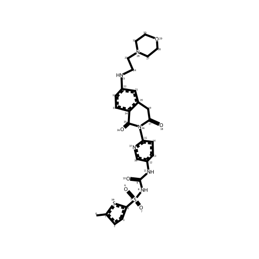 Cc1ccc(S(=O)(=O)NC(=O)Nc2ccc(N3C(=O)Cc4cc(NCCN5CCOCC5)ccc4C3=O)nc2)s1